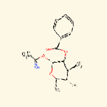 CCC1O[C@H](OC(=N)C(Cl)(Cl)Cl)C(OC(=O)c2ccccc2)[C@@H](C)[C@@H]1C